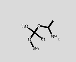 CC[CH]OC(O)(CC)OC(C)N